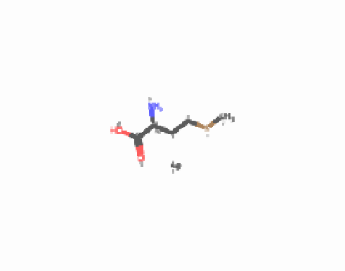 CSCC[C@H](N)C(=O)O.[Ag]